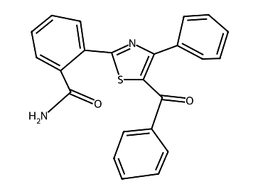 NC(=O)c1ccccc1-c1nc(-c2ccccc2)c(C(=O)c2ccccc2)s1